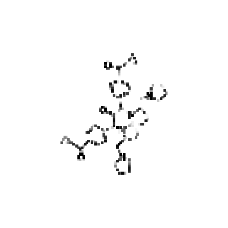 O=C(c1ccc([C@@H](C(=O)[C@H](c2ccc(C(=O)C3CC3)cc2)N2CCC[C@H]2CN2CCCC2)N2CCC[C@H]2CN2CCCC2)cc1)C1CC1